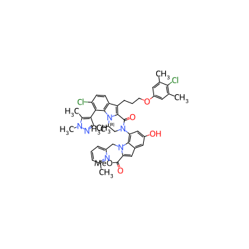 COC(=O)c1cc2cc(O)cc(N3C[C@@H](C)n4c(c(CCCOc5cc(C)c(Cl)c(C)c5)c5ccc(Cl)c(-c6c(C)nn(C)c6C)c54)C3=O)c2n1Cc1cccc(C)n1